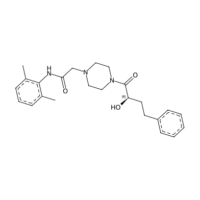 Cc1cccc(C)c1NC(=O)CN1CCN(C(=O)[C@H](O)CCc2ccccc2)CC1